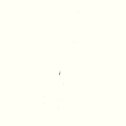 O=C(Oc1ccc(F)cc1)[C@H]1CC[C@H](C(F)(F)C(F)(F)C(F)(F)C(F)(F)C(F)(F)C(F)(F)F)CC1